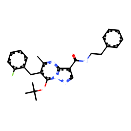 Cc1nc2c(C(=O)NCCc3ccccc3)cnn2c(OC(C)(C)C)c1Cc1ccccc1F